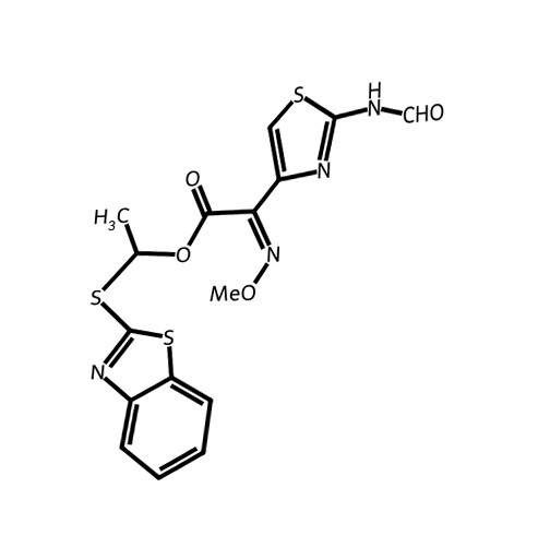 CON=C(C(=O)OC(C)Sc1nc2ccccc2s1)c1csc(NC=O)n1